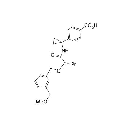 COCc1cccc(COC(C(=O)NC2(c3ccc(C(=O)O)cc3)CC2)C(C)C)c1